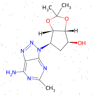 Cc1nc(N)c2nnn([C@@H]3C[C@H](O)[C@H]4OC(C)(C)O[C@H]43)c2n1